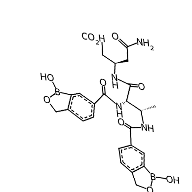 C[C@H](NC(=O)c1ccc2c(c1)B(O)OC2)[C@H](NC(=O)c1ccc2c(c1)B(O)OC2)C(=O)N[C@H](CC(N)=O)CC(=O)O